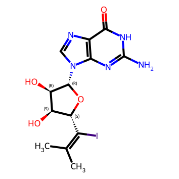 CC(C)=C(I)[C@H]1O[C@@H](n2cnc3c(=O)[nH]c(N)nc32)[C@H](O)[C@@H]1O